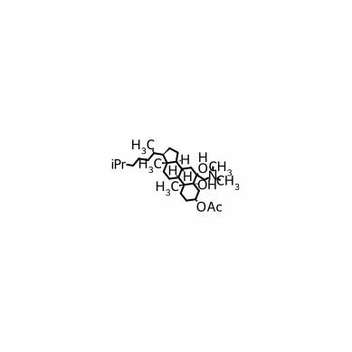 CC(=O)O[C@H]1CC[C@]2(C)[C@H]3CC[C@]4(C)[C@@H]([C@H](C)CCCC(C)C)CC[C@H]4[C@@H]3C[C@](O)(CN(C)C)[C@@]2(O)C1